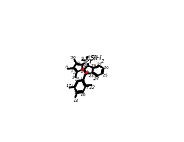 CC1=C(C)C(C)[C]([Zr]([CH3])([CH3])(=[SiH2])[CH]2C=C(c3cc(C)c(C)cc3C)c3ccccc32)=C1C